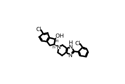 O[C@@H]1c2cc(Cl)ccc2C[C@@H]1N1CCc2nc(-c3ccccc3Cl)[nH]c2C1